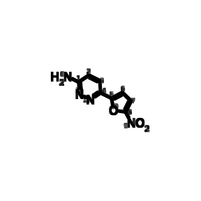 Nc1ccc(-c2ccc([N+](=O)[O-])o2)nn1